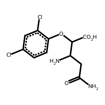 NC(=O)CC(N)C(Oc1ccc(Cl)cc1Cl)C(=O)O